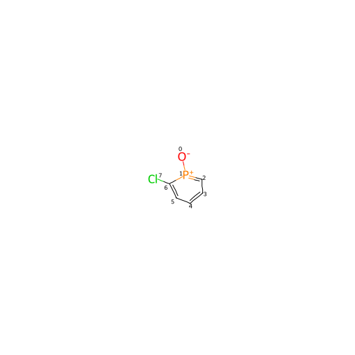 [O-][p+]1ccccc1Cl